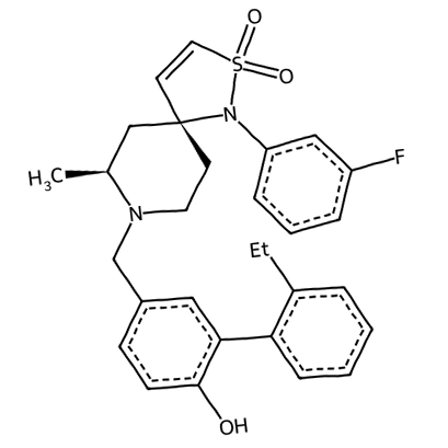 CCc1ccccc1-c1cc(CN2CC[C@]3(C=CS(=O)(=O)N3c3cccc(F)c3)C[C@@H]2C)ccc1O